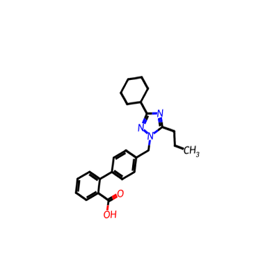 CCCc1nc(C2CCCCC2)nn1Cc1ccc(-c2ccccc2C(=O)O)cc1